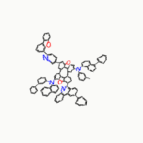 Cc1cccc(N(c2cc3oc4cc(-c5ccc(-c6cccc7c6oc6ccccc67)nc5)cc5c6ccc(N(c7cccc(-c8ccccc8)c7)c7cccc8ccccc78)c7oc8c(-c9nc%10ccccc%10c%10cc(-c%11ccccc%11)ccc9%10)ccc(c(c2)c3c45)c8c76)c2cccc3c(-c4ccccc4)cccc23)c1